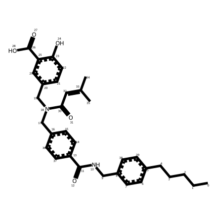 CCCCCc1ccc(CNC(=O)c2ccc(CN(Cc3ccc(O)c(C(=O)O)c3)C(=O)C=C(C)C)cc2)cc1